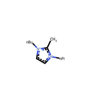 CCCC[n+]1ccn(CCC)c1C